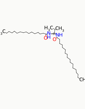 CCCCCCCCCCCCCCCCCC(=O)N[C@@H](CNC(=O)CCCCCCCCCCCCCCC)C(C)C